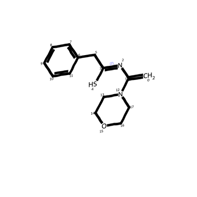 C=C(/N=C(\S)Cc1ccccc1)N1CCOCC1